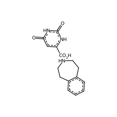 O=C(O)c1cc(=O)[nH]c(=O)[nH]1.c1ccc2c(c1)CCNCC2